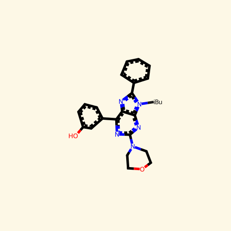 CCC(C)n1c(-c2ccccc2)nc2c(-c3cccc(O)c3)nc(N3CCOCC3)nc21